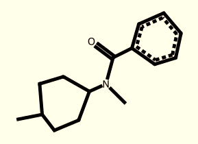 CC1CCC(N(C)C(=O)c2ccccc2)CC1